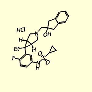 CCC1(c2cc(NS(=O)(=O)C3CC3)ccc2F)[C@@H]2CN(CC3(O)Cc4ccccc4C3)C[C@@H]21.Cl